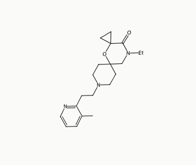 CCN1CC2(CCN(CCc3ncccc3C)CC2)OC2(CC2)C1=O